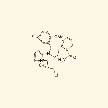 COc1ncc(F)cc1C1CCCN1C1=CC=N[N@+]1(C)CCCCl.NC(=O)N1C=NC=CC1